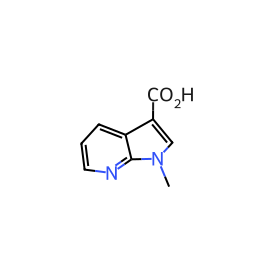 Cn1cc(C(=O)O)c2cccnc21